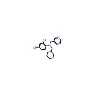 Clc1ccc(N(Cc2cccnc2)CC2CCCCC2)c(Cl)c1